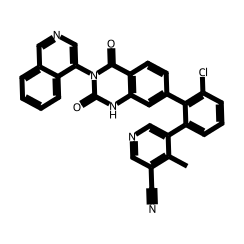 Cc1c(C#N)cncc1-c1cccc(Cl)c1-c1ccc2c(=O)n(-c3cncc4ccccc34)c(=O)[nH]c2c1